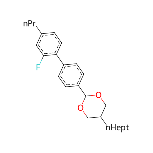 CCCCCCCC1COC(c2ccc(-c3ccc(CCC)cc3F)cc2)OC1